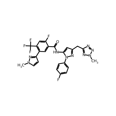 Cn1ccc(-c2cc(C(=O)Nc3cc(Cc4nnn(C)n4)nn3-c3ccc(F)cc3)c(F)cc2C(F)(F)F)n1